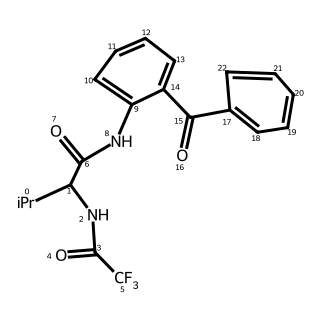 CC(C)C(NC(=O)C(F)(F)F)C(=O)Nc1ccccc1C(=O)c1ccccc1